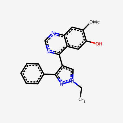 COc1cc2ncnc(-c3cn(CC(F)(F)F)nc3-c3ccccc3)c2cc1O